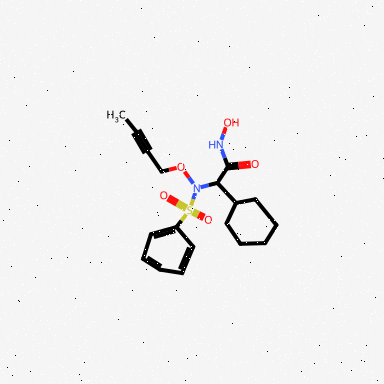 CC#CCON(C(C(=O)NO)C1CCCCC1)S(=O)(=O)c1ccccc1